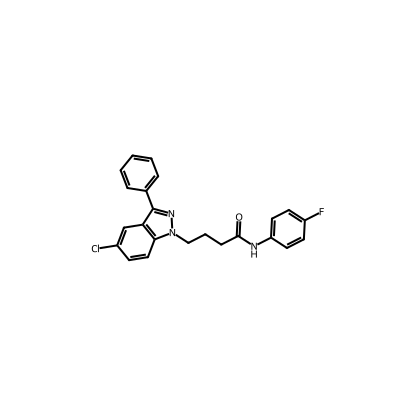 O=C(CCCn1nc(-c2ccccc2)c2cc(Cl)ccc21)Nc1ccc(F)cc1